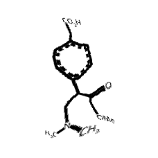 COC(=O)C(CN(C)C)c1ccc(C(=O)O)cc1